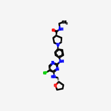 CCNC(=O)C1CCN(c2ccc(Nc3ncc(Cl)c(NC[C@@H]4CCCO4)n3)cc2)CC1